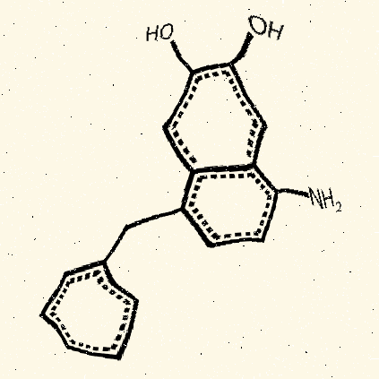 Nc1ccc(Cc2ccccc2)c2cc(O)c(O)cc12